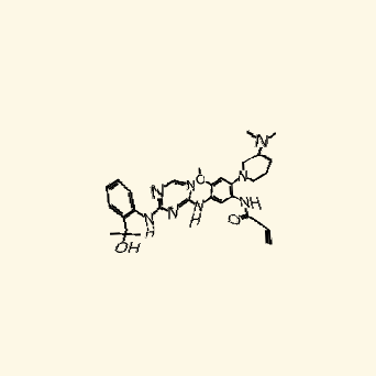 C=CC(=O)Nc1cc(Nc2ncnc(Nc3ccccc3C(C)(C)O)n2)c(OC)cc1N1CCCC(N(C)C)C1